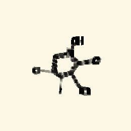 Cc1c(Cl)cn(O)c(=O)c1Cl